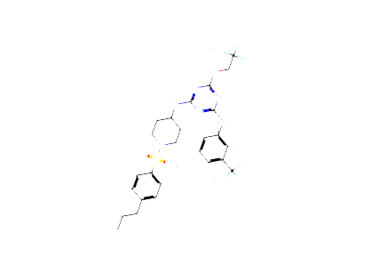 CCCc1ccc(S(=O)(=O)N2CCC(Nc3nc(Nc4cccc(C(F)(F)F)c4)nc(OCC(F)(F)F)n3)CC2)cc1